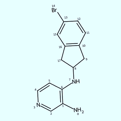 Nc1cnccc1NC1Cc2ccc(Br)cc2C1